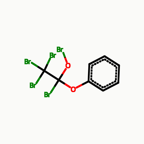 BrOC(Br)(Oc1ccccc1)C(Br)(Br)Br